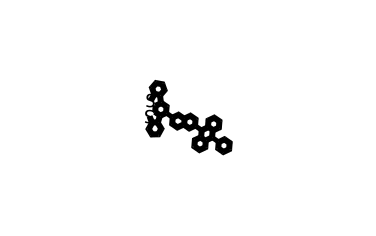 c1ccc(-c2c3ccccc3c(-c3ccc4cc(-c5cc6c7ccccc7sc6c6sc7ccccc7c56)ccc4c3)c3ccccc23)cc1